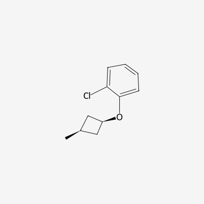 C[C@H]1C[C@@H](Oc2ccccc2Cl)C1